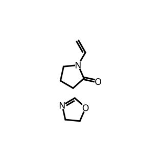 C1=NCCO1.C=CN1CCCC1=O